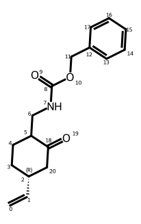 C=C[C@@H]1CCC(CNC(=O)OCc2ccccc2)C(=O)C1